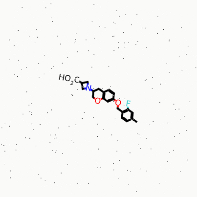 Cc1ccc(COc2ccc3c(c2)OCC(N2CC(C(=O)O)C2)C3)c(F)c1